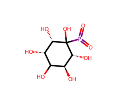 O=P(=O)C1(O)[C@H](O)[C@@H](O)C(O)[C@H](O)[C@@H]1O